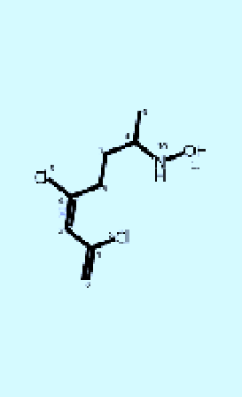 C=C(Cl)/C=C(/Cl)CCC(C)NO